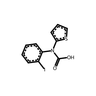 O=C(O)N(c1cccs1)c1ccccc1I